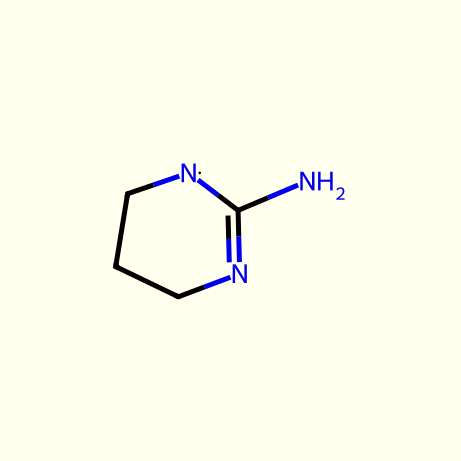 NC1=NCCC[N]1